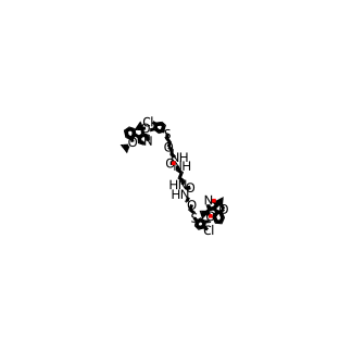 O=C(NCCCCNC(=O)NCCOCCSc1ccc(Cl)c(COC2(c3cnccc3-c3ccccc3OC3CC3)CC2)c1)NCCOCCSc1ccc(Cl)c(COC2(c3cnccc3-c3ccccc3OC3CC3)CC2)c1